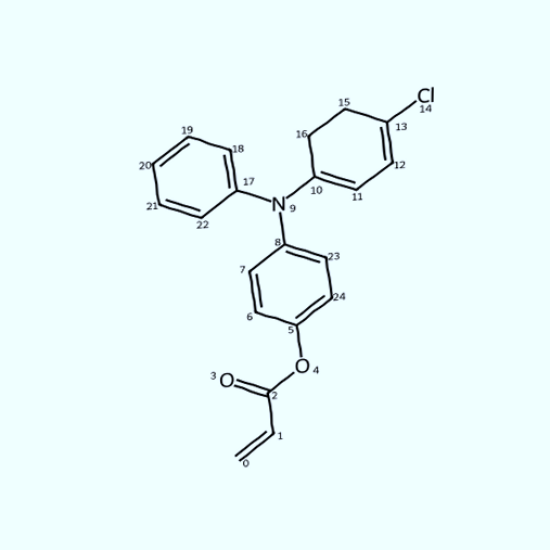 C=CC(=O)Oc1ccc(N(C2=CC=C(Cl)CC2)c2ccccc2)cc1